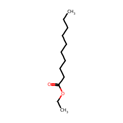 C[CH]OC(=O)CCCCCCCCC